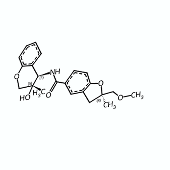 COC[C@@]1(C)Cc2cc(C(=O)N[C@@H]3c4ccccc4OC[C@@]3(C)O)ccc2O1